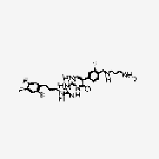 N=C(NCCCc1cc(F)c(F)cc1F)Nc1nc(=O)c(-c2ccc(CNCCCN)c(F)c2)c[nH]1